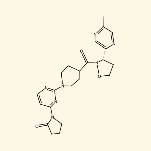 Cc1cnc([C@@H]2CCON2C(=O)C2CCN(c3nccc(N4CCCC4=O)n3)CC2)cn1